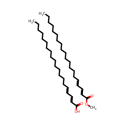 CCCCCCCCCCCCCCCC=CC=CC(=O)O.CCCCCCCCCCCCCCCC=CC=CC(=O)OC